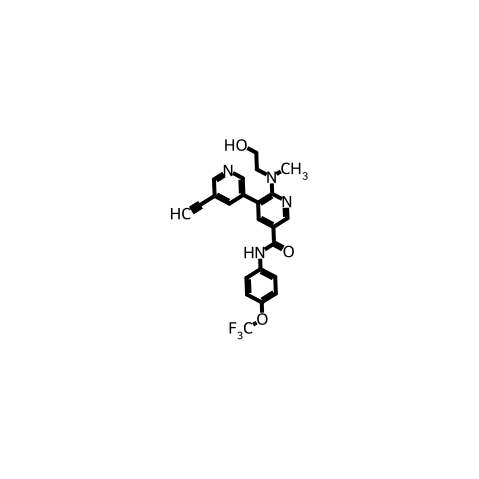 C#Cc1cncc(-c2cc(C(=O)Nc3ccc(OC(F)(F)F)cc3)cnc2N(C)CCO)c1